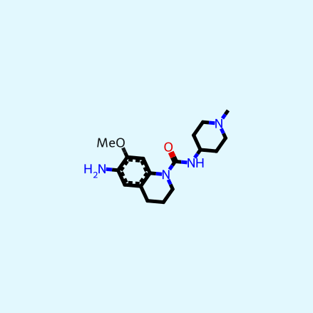 COc1cc2c(cc1N)CCCN2C(=O)NC1CCN(C)CC1